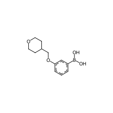 OB(O)c1cccc(OCC2CCOCC2)c1